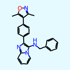 Cc1noc(C)c1-c1ccc(-c2nc3ccccn3c2NCc2ccccc2)cc1